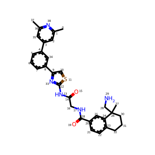 Cc1cc(-c2cccc(-c3csc(NC(=O)CNC(=O)c4ccc5c(c4)C(C)(CN)CCC5)n3)c2)cc(C)n1